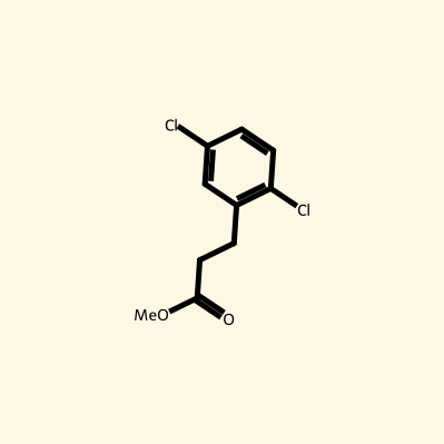 COC(=O)CCc1cc(Cl)ccc1Cl